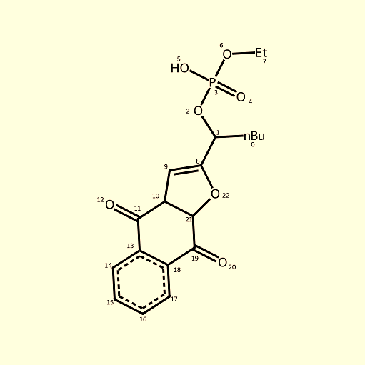 CCCCC(OP(=O)(O)OCC)C1=CC2C(=O)c3ccccc3C(=O)C2O1